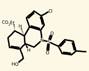 CCOC(=O)[C@H]1CC=C(CO)[C@H]2CN(S(=O)(=O)c3ccc(C)cc3)c3cc(Cl)ccc3[C@H]12